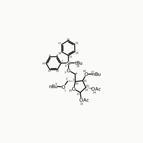 CCCCOC[C@@]1(CO[Si](c2ccccc2)(c2ccccc2)C(C)(C)C)OC(OC(C)=O)[C@@H](OC(C)=O)C1OCCCC